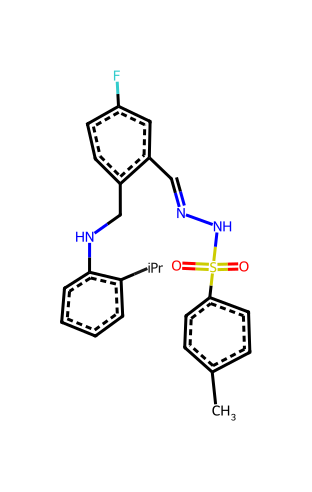 Cc1ccc(S(=O)(=O)NN=Cc2cc(F)ccc2CNc2ccccc2C(C)C)cc1